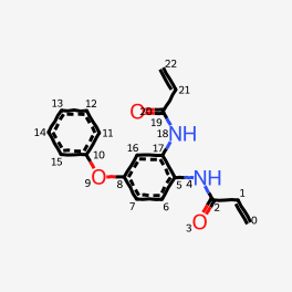 C=CC(=O)Nc1ccc(Oc2ccccc2)cc1NC(=O)C=C